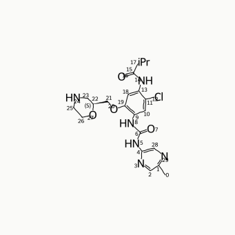 Cc1cnc(NC(=O)Nc2cc(Cl)c(NC(=O)C(C)C)cc2OC[C@@H]2CNCCO2)cn1